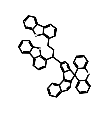 c1ccc2c(c1)Oc1ccccc1C21c2ccc(C(CCc3cccc4c3oc3ccccc34)c3cccc4c3sc3ccccc34)cc2-c2c1ccc1ccccc21